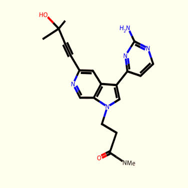 CNC(=O)CCn1cc(-c2ccnc(N)n2)c2cc(C#CC(C)(C)O)ncc21